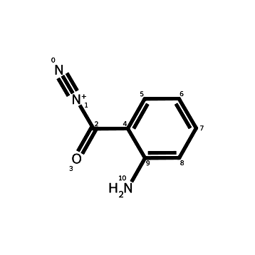 N#[N+]C(=O)c1ccccc1N